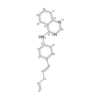 C=CCC=Cc1ccc(Nc2ncnc3ccccc23)cc1